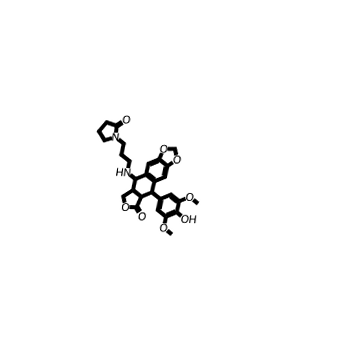 COc1cc(C2c3cc4c(cc3C(NCCCN3CCCC3=O)C3COC(=O)C23)OCO4)cc(OC)c1O